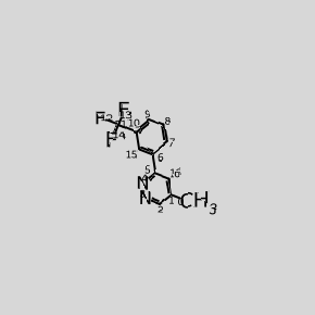 Cc1cnnc(-c2cccc(C(F)(F)F)c2)c1